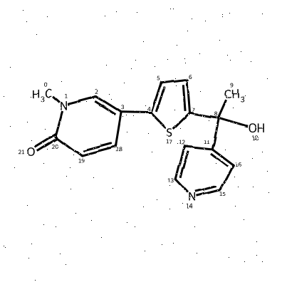 Cn1cc(-c2ccc(C(C)(O)c3ccncc3)s2)ccc1=O